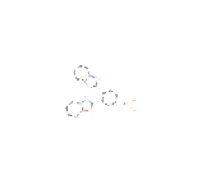 CS(=O)(=O)O.c1ccc(-c2nc3ccccc3o2)c(-c2nc3ccccc3o2)c1